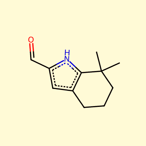 CC1(C)CCCc2cc(C=O)[nH]c21